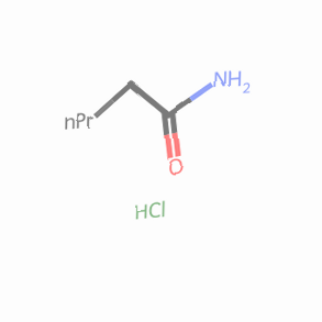 CCCCC(N)=O.Cl